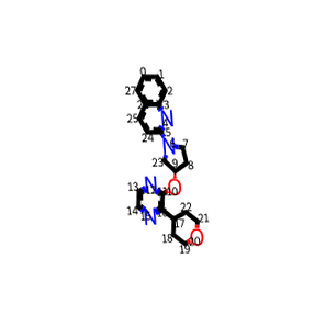 c1ccc2nc(N3CC[C@@H](Oc4nccnc4C4CCOCC4)C3)ccc2c1